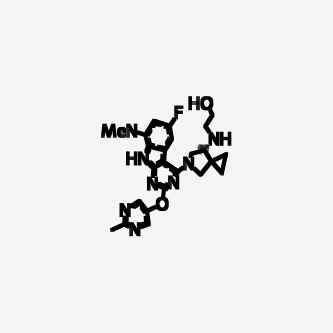 CNc1cc(F)cc2c1[nH]c1nc(Oc3cnc(C)nc3)nc(N3C[C@H](NCCO)C4(CC4)C3)c12